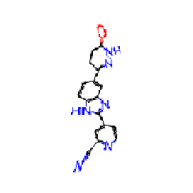 N#Cc1cc(-c2nc3cc(C4=NNC(=O)CC4)ccc3[nH]2)ccn1